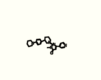 Cn1c(N2CCCC(c3ccc(N4CCCCC4)cc3)C2)nc(-c2ccncc2)cc1=O